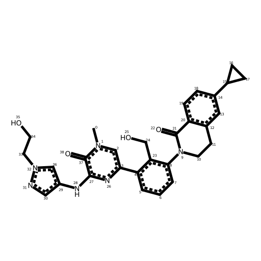 Cn1cc(-c2cccc(N3CCc4cc(C5CC5)ccc4C3=O)c2CO)nc(Nc2cnn(CCO)c2)c1=O